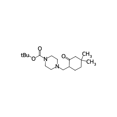 CC1(C)CCC(CN2CCN(C(=O)OC(C)(C)C)CC2)C(=O)C1